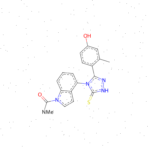 CNC(=O)n1ccc2c(-n3c(-c4ccc(O)cc4C)n[nH]c3=S)cccc21